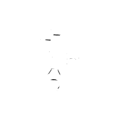 C=C(C)C(=O)OCCOc1ccc(C=O)cc1.CC(C)O